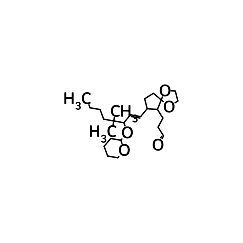 CCCCC(C)(C)C(C=CC1CCC2(OCCO2)C1CCC=O)OC1CCCCO1